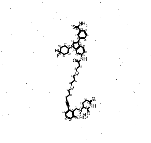 CN(Cc1c(C#CCCCOCCCOCCC(=O)Nc2ccc3c(-c4cccc(C(N)=S)c4)cn(C4CCC(F)(F)CC4)c3c2)cccc1C=O)C1CCC(=O)NC1=O